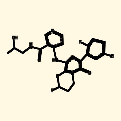 CC(O)CNC(=O)c1cnccc1Nc1cc(-c2cc(Cl)ccc2F)c(=O)n2c1OC(F)CC2